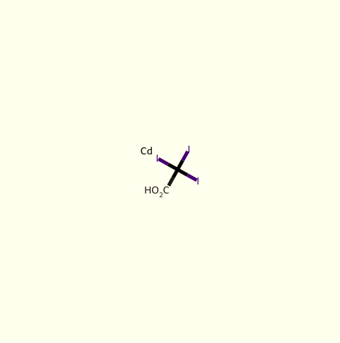 O=C(O)C(I)(I)I.[Cd]